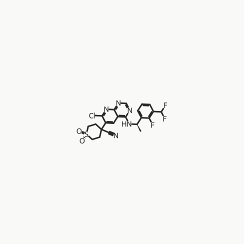 C[C@@H](Nc1ncnc2nc(Cl)c(C3(C#N)CCS(=O)(=O)CC3)cc12)c1cccc(C(F)F)c1F